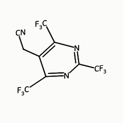 N#CCc1c(C(F)(F)F)nc(C(F)(F)F)nc1C(F)(F)F